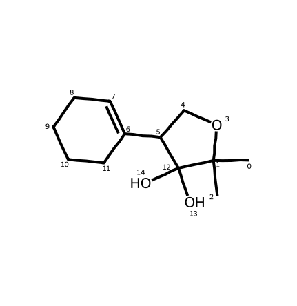 CC1(C)OCC(C2=CCCCC2)C1(O)O